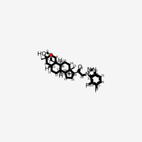 COC[C@]12CC[C@@](C)(O)C[C@H]1CC[C@H]1[C@@H]3CC[C@H](C(=O)Cn4nnc5ccc(F)c(F)c54)[C@@]3(C)CC[C@@H]12